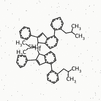 CC(C)Cc1ccccc1-c1cccc2c1C=C(c1ccccc1)[CH]2[Hf]([CH]1C(c2ccccc2)=Cc2c(-c3ccccc3CC(C)C)cccc21)[SiH](C)C